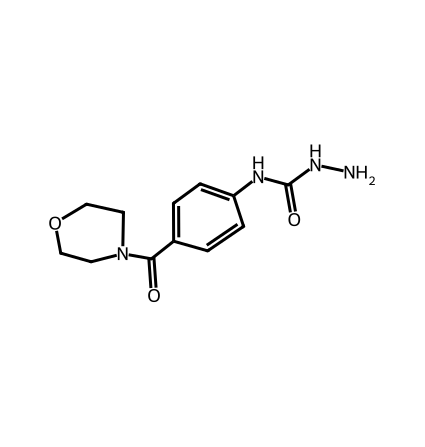 NNC(=O)Nc1ccc(C(=O)N2CCOCC2)cc1